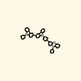 c1ccc(N2c3ccccc3Sc3cc(-c4ccc(-n5c6ccccc6c6cc(-c7ccc8c(c7)c7ccccc7n8-c7ccccc7)ccc65)cc4)ccc32)cc1